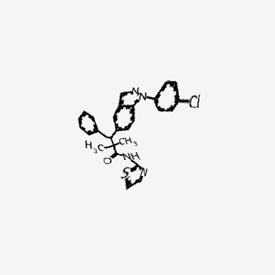 CC(C)(C(=O)Nc1nccs1)C(c1ccccc1)c1ccc2c(cnn2-c2ccc(Cl)cc2)c1